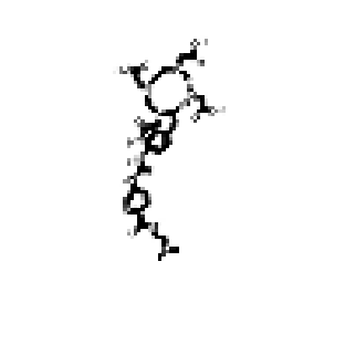 CN(C)CCNC(=O)c1ccc(NC(=S)Nc2ccc(CC3CN(CC(=O)O)CCN(CC(=O)O)CCN(CC(=O)O)CCN3CC(=O)O)cc2)cn1